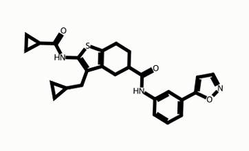 O=C(Nc1cccc(-c2ccno2)c1)C1CCc2sc(NC(=O)C3CC3)c(CC3CC3)c2C1